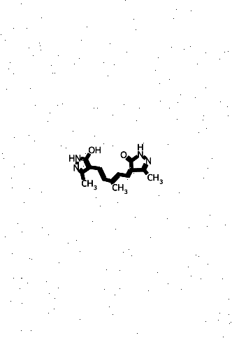 CC(C=Cc1c(C)n[nH]c1O)=CC=C1C(=O)NN=C1C